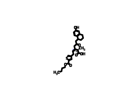 CCCCOC(=O)c1cc(C/C=C(/CC(=O)CC2CCCc3cc(O)ccc32)[C@H](C)C(=O)O)cs1